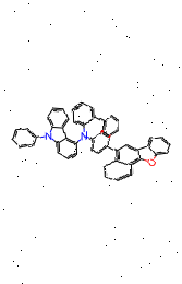 c1ccc(-c2ccccc2N(c2ccc(-c3cc4c5ccccc5oc4c4ccccc34)cc2)c2cccc3c2c2ccccc2n3-c2ccccc2)cc1